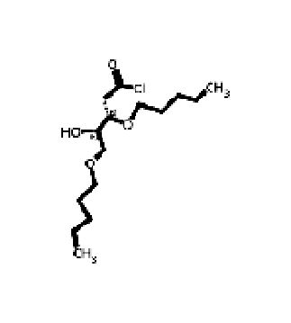 CCCCCOC[C@@H](O)[C@H](CC(=O)Cl)OCCCCC